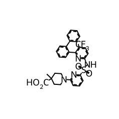 CC1(C(=O)O)CCN(c2cccc(S(=O)(=O)Nc3ccc(C(F)(F)F)c(-c4ccccc4-c4ccccc4)n3)n2)CC1